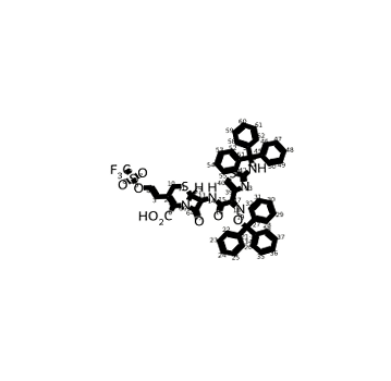 O=C(O)C1=C(/C=C/OS(=O)(=O)C(F)(F)F)CS[C@@H]2C(NC(=O)/C(=N\OC(c3ccccc3)(c3ccccc3)c3ccccc3)c3csc(NC(c4ccccc4)(c4ccccc4)c4ccccc4)n3)C(=O)N12